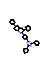 c1ccc(-c2ccc3nc(-c4ccc(-c5nc(-c6ccccc6)nc(-c6ccccc6)n5)cc4)c4c5ccccc5sc4c3c2)cc1